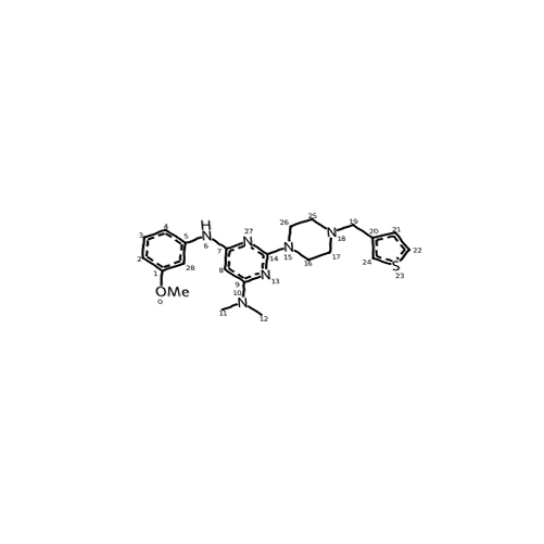 COc1cccc(Nc2cc(N(C)C)nc(N3CCN(Cc4ccsc4)CC3)n2)c1